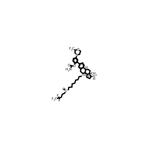 C[C@]12CC[C@@H]3c4ccc(-c5cc(N6CCOC(C(F)(F)F)C6)ccc5OC(N)=O)cc4C[C@@H](CCCCCCCCC[S+]([O-])CCCC(F)(F)C(F)(F)F)[C@H]3[C@@H]1CC[C@@H]2O